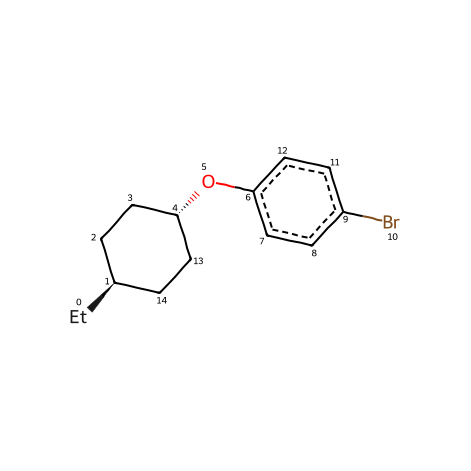 CC[C@H]1CC[C@H](Oc2ccc(Br)cc2)CC1